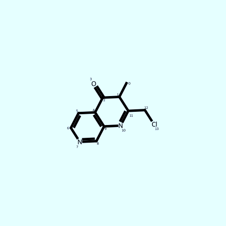 CC1C(=O)c2ccncc2N=C1CCl